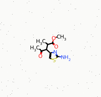 COC(=O)[C](C)C(C(C)=O)c1csc(N)n1